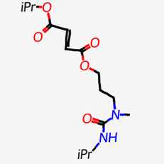 CC(C)NC(=O)N(C)CCCOC(=O)/C=C/C(=O)OC(C)C